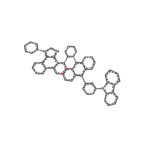 c1ccc(-n2cnc3c4c(-c5ccccc5-c5c6ccccc6c(-c6cccc(-n7c8ccccc8c8ccccc87)c6)c6ccccc56)cccc4c4ccccc4c32)cc1